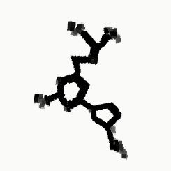 CC(C)OCc1cc(N2CC[C@@H](N)C2)nc(N)n1